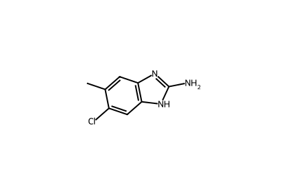 Cc1cc2nc(N)[nH]c2cc1Cl